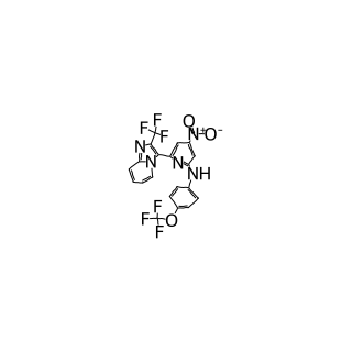 O=[N+]([O-])c1cc(Nc2ccc(OC(F)(F)F)cc2)nc(-c2c(C(F)(F)F)nc3ccccn23)c1